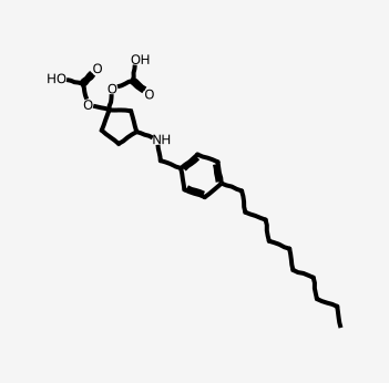 CCCCCCCCCCc1ccc(CNC2CCC(OC(=O)O)(OC(=O)O)C2)cc1